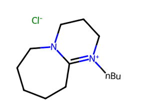 CCCC[N+]1=C2CCCCCN2CCC1.[Cl-]